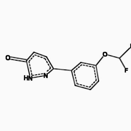 O=c1ccc(-c2cccc(OC(F)F)c2)n[nH]1